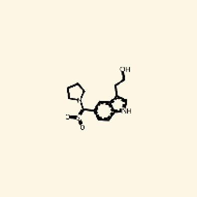 O=S(=O)=C(c1ccc2[nH]cc(CCO)c2c1)N1CCCC1